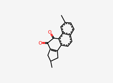 Cc1ccc2ccc3c(c2c1)C(=O)C(=O)C1=C3CC(C)C1